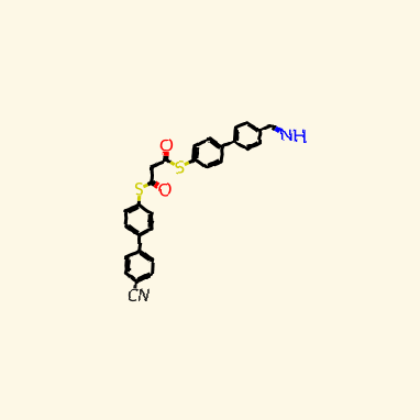 N#Cc1ccc(-c2ccc(SC(=O)CC(=O)Sc3ccc(-c4ccc(C=N)cc4)cc3)cc2)cc1